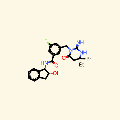 CC[C@]1(C(C)C)CC(=O)N(Cc2cc(F)cc(C(=O)N[C@@H]3c4ccccc4C[C@H]3O)c2)C(=N)N1